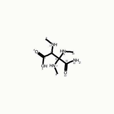 CNC(C(=O)O)C(NC)(NC)C(N)=O